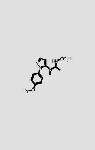 CC(C)Oc1ccc(-n2nccc2N(C)C(C)NC(=O)O)cc1